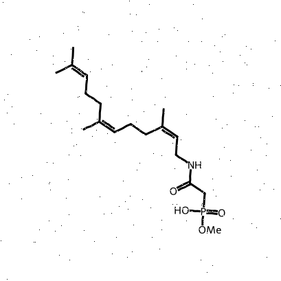 COP(=O)(O)CC(=O)NCC=C(C)CCC=C(C)CCC=C(C)C